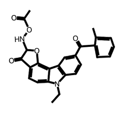 CCn1c2ccc(C(=O)c3ccccc3C)cc2c2c3c(ccc21)C(=O)C(NOC(C)=O)O3